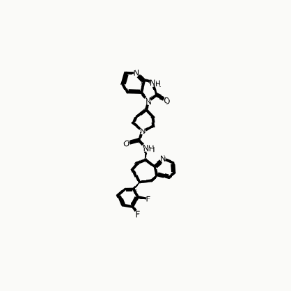 O=C(N[C@@H]1CC[C@H](c2cccc(F)c2F)Cc2cccnc21)N1CCC(n2c(=O)[nH]c3ncccc32)CC1